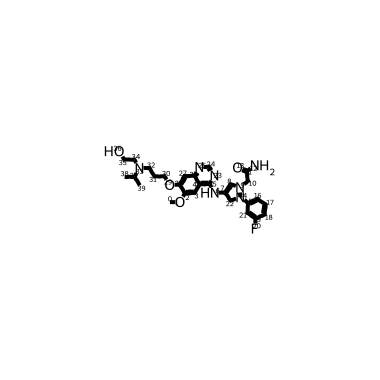 COc1cc2c(NC3=CN(CC(N)=O)N(c4cccc(F)c4)C3)ncnc2cc1OCCCN(CCO)C(C)C